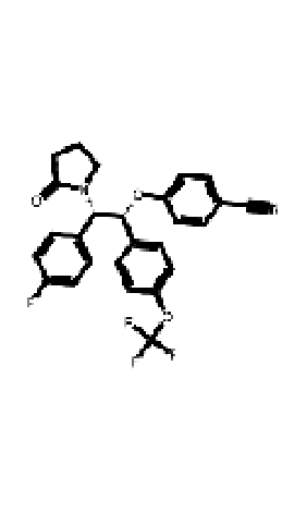 N#Cc1ccc(O[C@H](c2ccc(OC(F)(F)F)cc2)[C@H](c2ccc(F)cc2)N2CCCC2=O)cc1